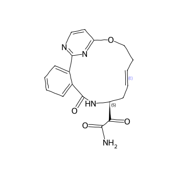 NC(=O)C(=O)[C@@H]1C/C=C/CCOc2ccnc(n2)-c2ccccc2C(=O)N1